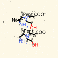 CCCCCC(CN)N(CCO)CCC(=O)[O-].CCCCCC(CN)N(CCO)CCC(=O)[O-].[Na+].[Na+]